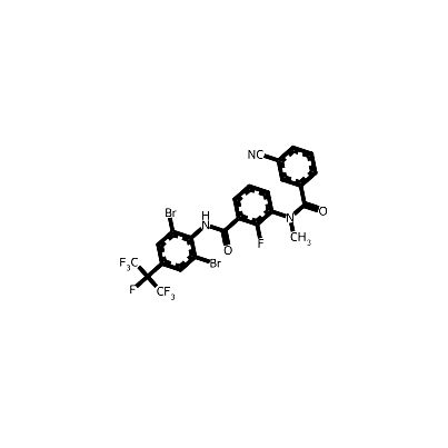 CN(C(=O)c1cccc(C#N)c1)c1cccc(C(=O)Nc2c(Br)cc(C(F)(C(F)(F)F)C(F)(F)F)cc2Br)c1F